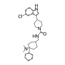 CN(C)C1(c2ccccc2)CCC(CNC(=O)N2CCC(c3c[nH]c4ccc(Cl)cc34)CC2)CC1